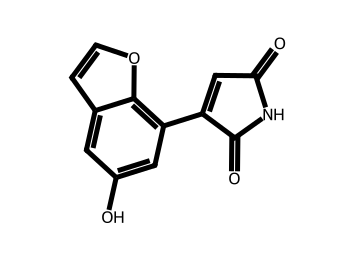 O=C1C=C(c2cc(O)cc3ccoc23)C(=O)N1